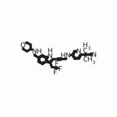 CC(C)(C#N)c1ccc(NCC#Cc2[nH]c3cc(CNC4CCOCC4)ccc3c2CC(F)(F)F)cn1